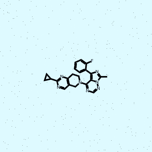 Cc1nc(-c2ccccc2F)c2c(N3CCc4nc(C5CC5)ncc4C3)ncnn12